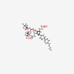 CCCCCC1CCC(C2CCC(c3cc(CCCO)c(OCCC(CO[Si](C)(C)C(C)(C)C)CO[Si](C)(C)C(C)(C)C)c(CCCO)c3)CC2)CC1